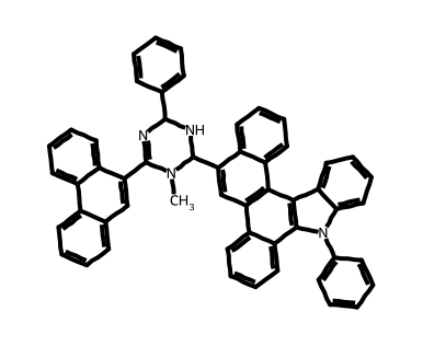 CN1C(c2cc3ccccc3c3ccccc23)=NC(c2ccccc2)NC1c1cc2c3ccccc3c3c(c4ccccc4n3-c3ccccc3)c2c2ccccc12